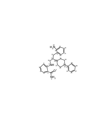 NC(=O)c1ccccc1NCC(Cc1ccccc1N)N1CCN(c2ccccc2)CC1